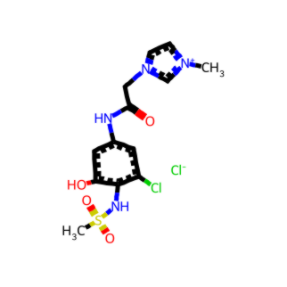 C[n+]1ccn(CC(=O)Nc2cc(O)c(NS(C)(=O)=O)c(Cl)c2)c1.[Cl-]